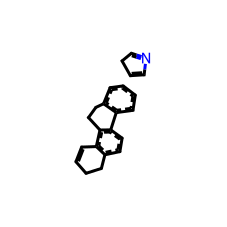 C1=CN=CC1.C1=Cc2c(ccc3c2CCc2ccccc2-3)CC1